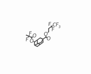 CC(F)(F)C(=O)OC1C2CC3CC1CC(C(=O)OCCC(F)(F)C(F)(F)F)(C3)C2